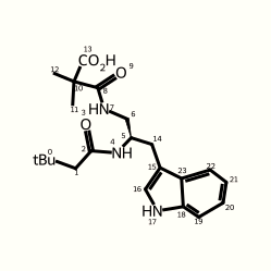 CC(C)(C)CC(=O)N[C@@H](CNC(=O)C(C)(C)C(=O)O)Cc1c[nH]c2ccccc12